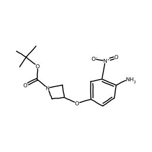 CC(C)(C)OC(=O)N1CC(Oc2ccc(N)c([N+](=O)[O-])c2)C1